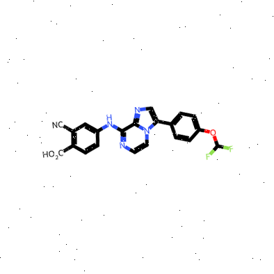 N#Cc1cc(Nc2nccn3c(-c4ccc(OC(F)F)cc4)cnc23)ccc1C(=O)O